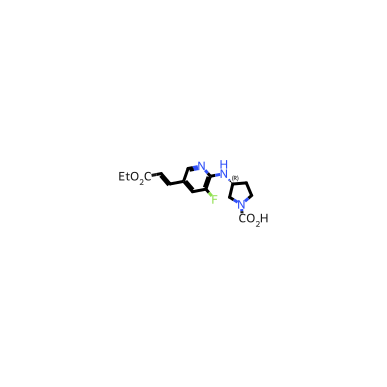 CCOC(=O)C=Cc1cnc(N[C@@H]2CCN(C(=O)O)C2)c(F)c1